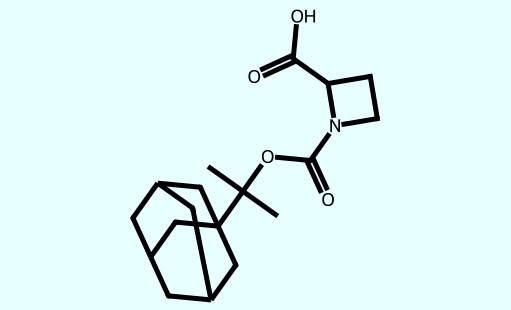 CC(C)(OC(=O)N1CCC1C(=O)O)C12CC3CC(CC(C3)C1)C2